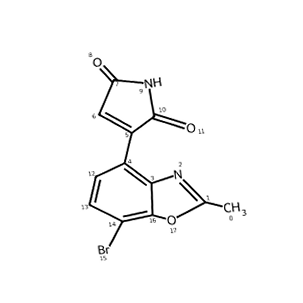 Cc1nc2c(C3=CC(=O)NC3=O)ccc(Br)c2o1